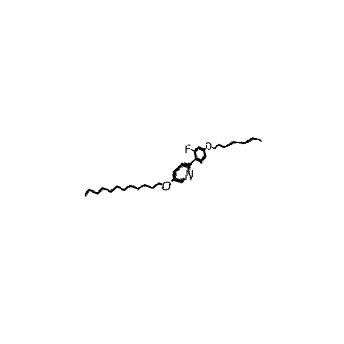 CCCCCCCCCCCCOc1ccc(-c2ccc(OCCCCCCC)cc2F)nc1